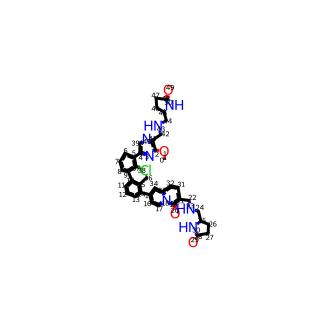 COc1nc(-c2cccc(-c3cccc(-c4ccn5c(=O)c(CNCC6CCC(=O)N6)ccc5c4)c3C)c2Cl)cnc1CNCC1CCC(=O)N1